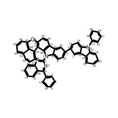 c1ccc(-c2nc(-n3c4ccc(-c5ccc6c(c5)c5ccccc5n6-c5ccccc5)cc4c4ccc5c(c43)-c3cccc4cccc(c34)O5)nc3ccccc23)cc1